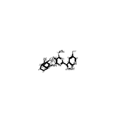 CC(C)(C)Sc1nc(-c2n[nH]c3ncc(F)cc23)nc(N[C@H]2C3CCC(CC3)[C@@H]2C(=O)O)c1F